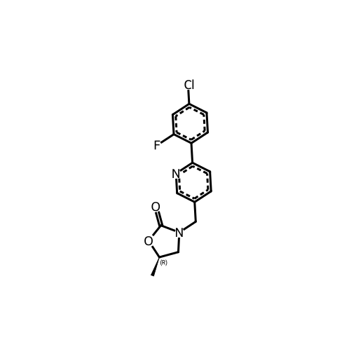 C[C@@H]1CN(Cc2ccc(-c3ccc(Cl)cc3F)nc2)C(=O)O1